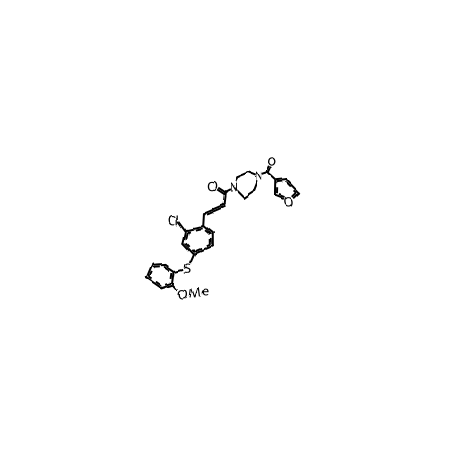 COc1ccccc1Sc1ccc(/C=C/C(=O)N2CCN(C(=O)c3ccoc3)CC2)c(Cl)c1